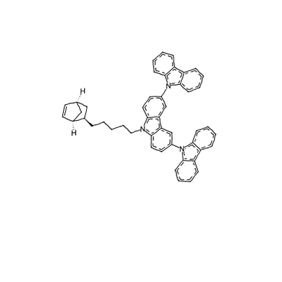 C1=C[C@H]2C[C@@H]1C[C@H]2CCCCCn1c2ccc(-n3c4ccccc4c4ccccc43)cc2c2cc(-n3c4ccccc4c4ccccc43)ccc21